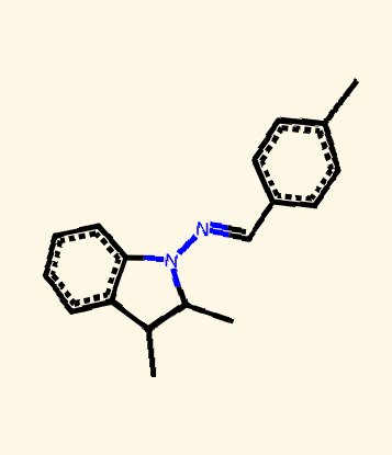 Cc1ccc(/C=N/N2c3ccccc3C(C)C2C)cc1